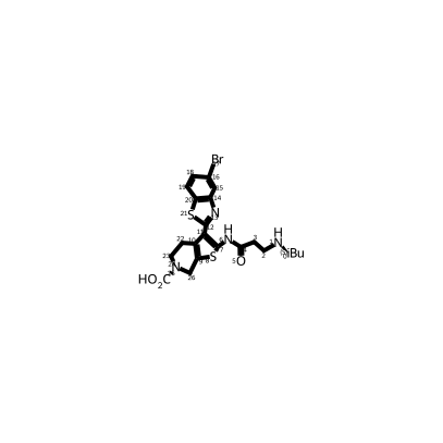 CC[C@H](C)NCCC(=O)Nc1sc2c(c1-c1nc3cc(Br)ccc3s1)CCN(C(=O)O)C2